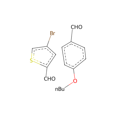 CCCCOc1ccc(C=O)cc1.O=Cc1cc(Br)cs1